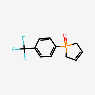 O=P1(c2ccc(C(F)(F)F)cc2)CC=CC1